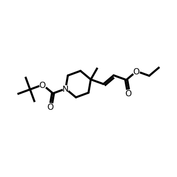 CCOC(=O)/C=C/C1(C)CCN(C(=O)OC(C)(C)C)CC1